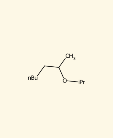 CCCCCC(C)OC(C)C